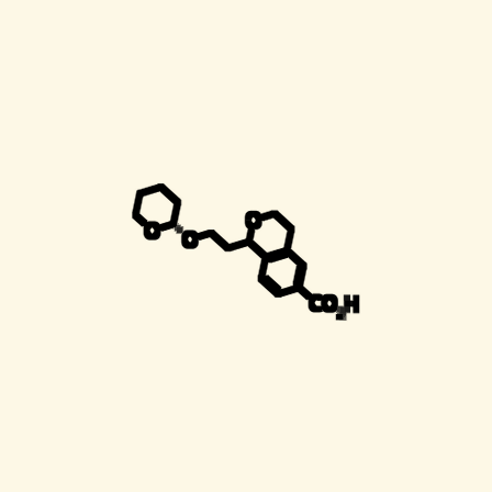 O=C(O)c1ccc2c(c1)CCOC2CCO[C@H]1CCCCO1